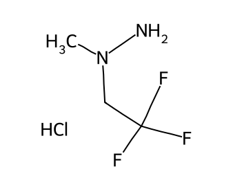 CN(N)CC(F)(F)F.Cl